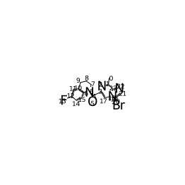 Cc1nc(C(=O)N2CCCc3cc(F)ccc32)cn2c(Br)cnc12